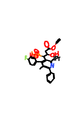 C#COC(=O)CC(O)C(c1c(C(C)C)nc(-c2ccccc2)c(C)c1-c1ccc(F)cc1)[PH](=O)O